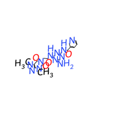 Cn1cnc2c1c(=O)n(CC(=O)Nc1nc(N)nc(NC(=O)c3cccnc3)n1)c(=O)n2C